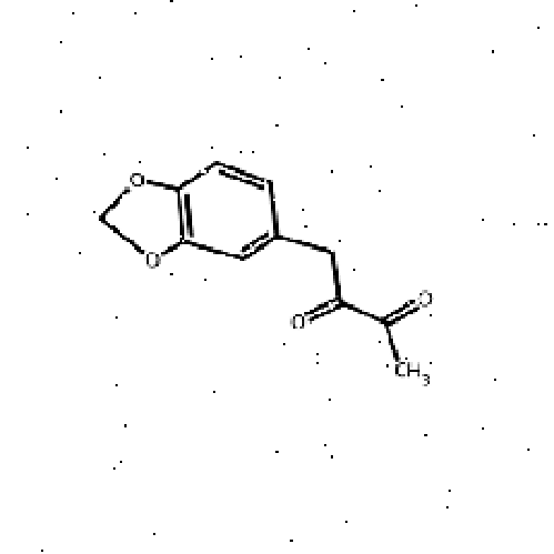 CC(=O)C(=O)Cc1ccc2c(c1)OCO2